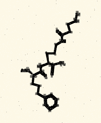 BC(=O)[C@H](CCCNC(=O)CCNS)NC(=O)[C@H](CCCc1ccccc1)NC(C)=O